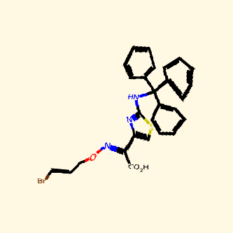 O=C(O)C(=NOCC=CBr)c1csc(NC(c2ccccc2)(c2ccccc2)c2ccccc2)n1